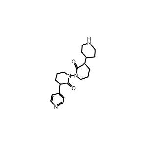 O=C1C(c2ccncc2)CCCN1N1CCCC(C2CCNCC2)C1=O